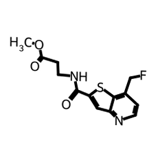 COC(=O)CCNC(=O)c1cc2nccc(CF)c2s1